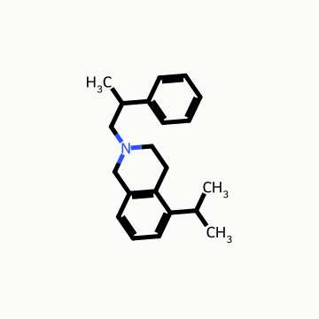 CC(C)c1cccc2c1CCN(CC(C)c1ccccc1)C2